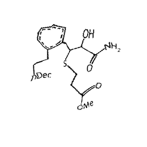 CCCCCCCCCCCCc1ccccc1C(SCCC(=O)OC)C(O)C(N)=O